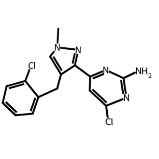 Cn1cc(Cc2ccccc2Cl)c(-c2cc(Cl)nc(N)n2)n1